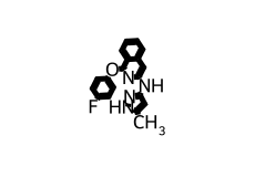 Cc1cc(Nc2cc3ccccc3c(Oc3ccc(F)cc3)n2)n[nH]1